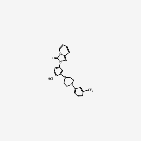 Cl.O=c1n(-c2cccc(N3CCN(c4cccc(C(F)(F)F)c4)CC3)c2)nc2ccccn12